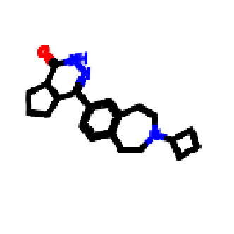 O=C1NN=C(c2ccc3c(c2)CCN(C2CCC2)CC3)C2CCCC12